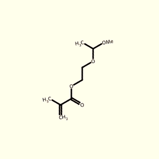 C=C(C)C(=O)OCCOC(C)OC